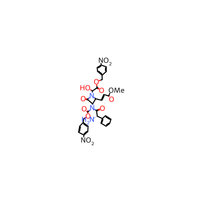 COC(=O)C=CC1C(N(C(=O)OCc2ccc([N+](=O)[O-])cc2)C(=O)[C@@H](N)c2ccccc2)C(=O)N1C(O)C(=O)OCc1ccc([N+](=O)[O-])cc1